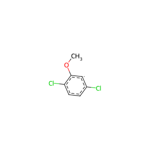 COc1[c]c(Cl)ccc1Cl